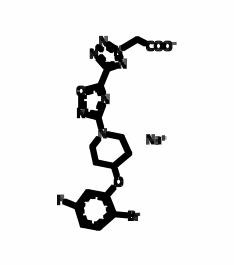 O=C([O-])Cn1nnc(-c2nc(N3CCC(Oc4cc(F)ccc4Br)CC3)no2)n1.[Na+]